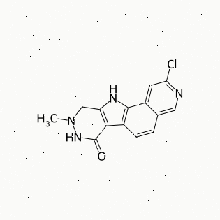 CN1Cc2[nH]c3c(ccc4cnc(Cl)cc43)c2C(=O)N1